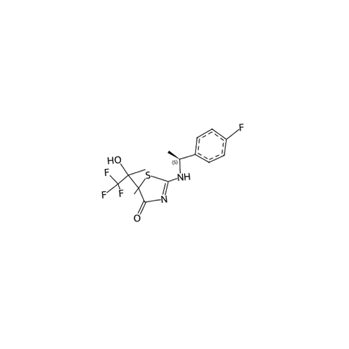 C[C@H](NC1=NC(=O)C(C)(C(C)(O)C(F)(F)F)S1)c1ccc(F)cc1